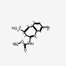 CC(C)(C)OC(=O)NC1=Nc2cc(Br)ccc2C=C(C(=O)O)C1